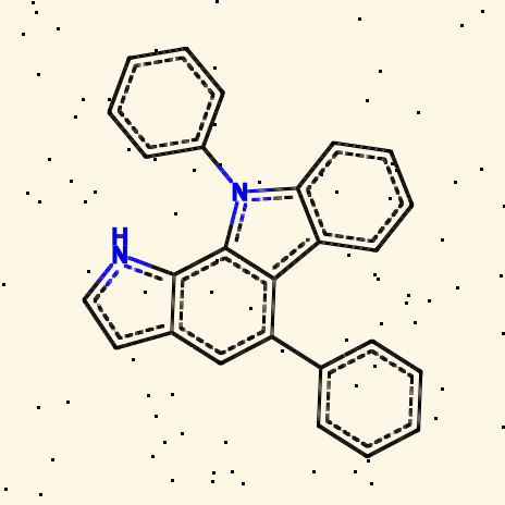 c1ccc(-c2cc3cc[nH]c3c3c2c2ccccc2n3-c2ccccc2)cc1